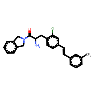 NC(Cc1ccc(C=Cc2cccc(C(F)(F)F)c2)cc1Cl)C(=O)N1Cc2ccccc2C1